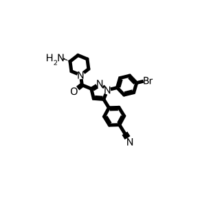 N#Cc1ccc(-c2cc(C(=O)N3CCC[C@@H](N)C3)nn2-c2ccc(Br)cc2)cc1